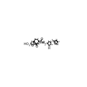 O=C(NOC[C@@H]1C[C@H](Cn2ccnn2)CN1)[C@@H]1CC[C@@H]2CN1C(=O)N2OS(=O)(=O)O